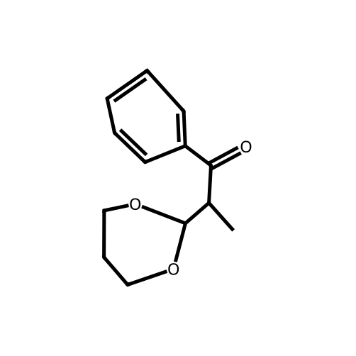 CC(C(=O)c1ccccc1)C1OCCCO1